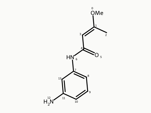 COC(C)=CC(=O)Nc1cccc(N)c1